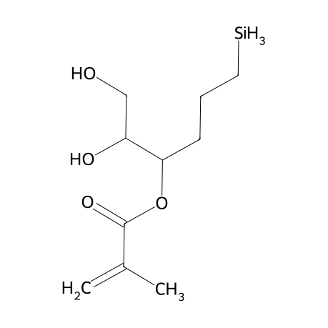 C=C(C)C(=O)OC(CCC[SiH3])C(O)CO